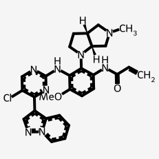 C=CC(=O)Nc1ccc(OC)c(Nc2ncc(Cl)c(-c3cnn4ccccc34)n2)c1N1CC[C@@H]2CN(C)C[C@@H]21